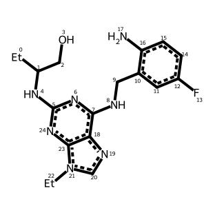 CCC(CO)Nc1nc(NCc2cc(F)ccc2N)c2ncn(CC)c2n1